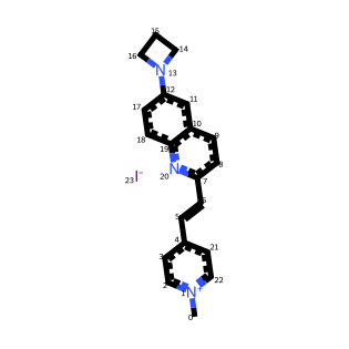 C[n+]1ccc(C=Cc2ccc3cc(N4CCC4)ccc3n2)cc1.[I-]